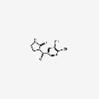 O=C1NCCN1C(=O)c1ccc(O)c(O)c1